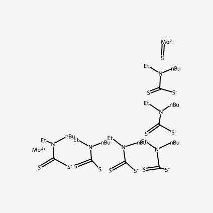 CCCCN(CC)C(=S)[S-].CCCCN(CC)C(=S)[S-].CCCCN(CC)C(=S)[S-].CCCCN(CC)C(=S)[S-].CCCCN(CC)C(=S)[S-].CCCCN(CC)C(=S)[S-].[Mo+4].[S]=[Mo+2]